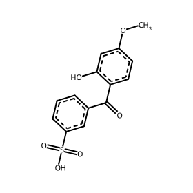 COc1ccc(C(=O)c2cccc(S(=O)(=O)O)c2)c(O)c1